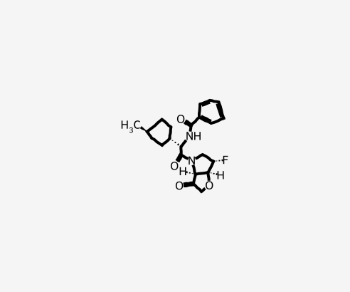 C[C@H]1CC[C@H](C(NC(=O)c2ccccc2)C(=O)N2C[C@H](F)[C@H]3OCC(=O)[C@H]32)CC1